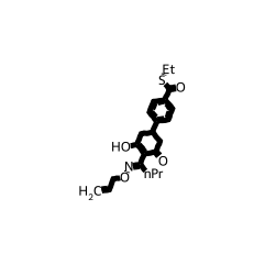 C=CCO/N=C(\CCC)C1=C(O)CC(c2ccc(C(=O)SCC)cc2)CC1=O